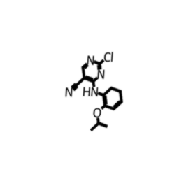 CC(C)OC1=C(Nc2nc(Cl)ncc2C#N)CCC=C1